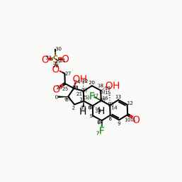 C[C@@H]1C[C@H]2[C@@H]3C[C@H](F)C4=CC(=O)C=C[C@]4(C)[C@@]3(F)[C@@H](O)C[C@]2(C)[C@@]1(O)C(=O)COS(C)(=O)=O